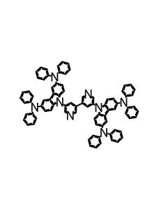 c1ccc(N(c2ccccc2)c2ccc3c(c2)c2cc(N(c4ccccc4)c4ccccc4)ccc2n3-c2cncc(-c3cncc(-n4c5ccc(N(c6ccccc6)c6ccccc6)cc5c5cc(N(c6ccccc6)c6ccccc6)ccc54)c3)c2)cc1